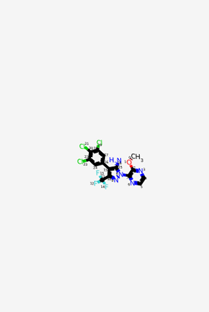 COc1nccnc1-n1nc(C(F)(F)F)c(-c2cc(Cl)c(Cl)c(Cl)c2)c1N